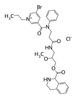 CCC[n+]1cc(Br)cc(C(=O)N(CCC(=O)NCC(COC(=O)C2NCCc3ccccc32)OC)c2ccccc2)c1.[Cl-]